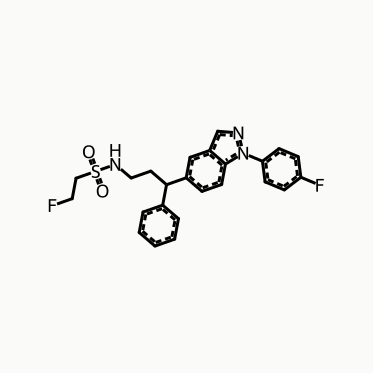 O=S(=O)(CCF)NCCC(c1ccccc1)c1ccc2c(cnn2-c2ccc(F)cc2)c1